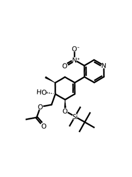 CC(=O)OC[C@@]1(O)[C@@H](C)CC(c2ccncc2[N+](=O)[O-])=C[C@H]1O[Si](C)(C)C(C)(C)C